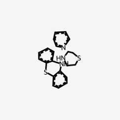 C1CSCCN1.c1ccc2c(c1)Nc1ccccc1S2.c1ccncc1